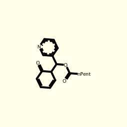 CCCCCC(=O)OC(c1cccnc1)C1C=CC=CC1=O